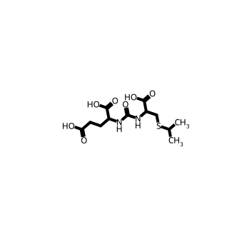 CC(C)SCC(NC(=O)NC(CCC(=O)O)C(=O)O)C(=O)O